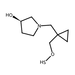 O[C@@H]1CCN(CC2(COS)CC2)C1